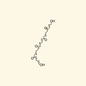 O=C(CSCC[S+]([O-])CSCSC(=O)CSCC[S+]([O-])CSCO)SCSCO